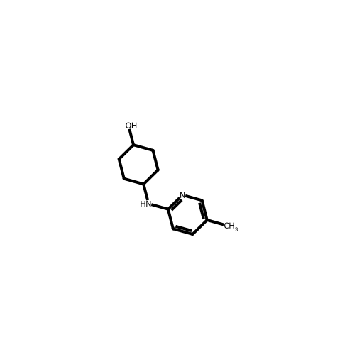 Cc1ccc(NC2CCC(O)CC2)nc1